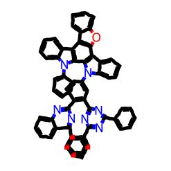 c1ccc(-c2nc(-c3ccccc3)nc(-c3cc(-n4c5ccccc5c5c6oc7ccccc7c6c6c7ccccc7n(-c7ccccc7)c6c54)ccc3-c3nc(-c4ccccc4)c4ccccc4n3)n2)cc1